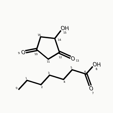 CCCCCCC(=O)O.O=C1CC(=O)C(O)C1